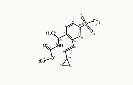 C[C@H](NC(=O)OC(C)(C)C)c1ccc(S(C)(=O)=O)cc1/C=C/C1CC1